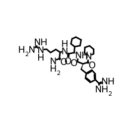 N=C(N)NCCCC(NC(=O)[C@@H](NC(=O)[C@H](Cc1ccc(C(=N)N)cc1)C(=O)N1CCCCC1)C1CCCCC1)C(N)=O